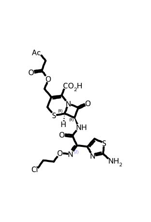 CC(=O)CC(=O)OCC1=C(C(=O)O)N2C(=O)[C@@H](NC(=O)/C(=N\OCCCl)c3csc(N)n3)[C@H]2SC1